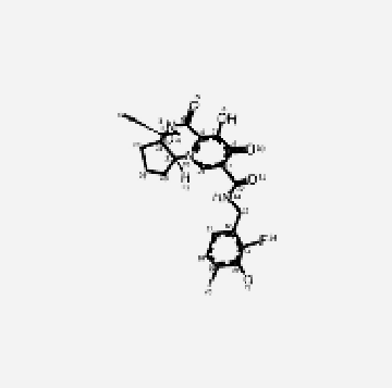 C[C@H]1CN2C(=O)c3c(O)c(=O)c(C(=O)NCc4ccc(F)c(Cl)c4F)cn3[C@@H]3CCCC32O1